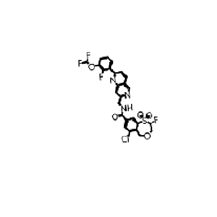 O=C(NCc1cc2nc(-c3cccc(OC(F)F)c3F)ccc2cn1)c1cc(Cl)c2c(c1)S(=O)(=O)[C@@H](F)COC2